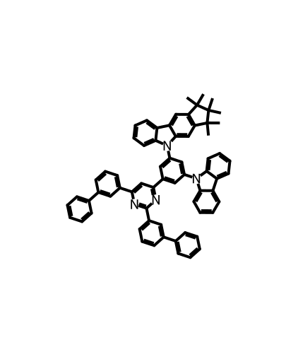 CC1(C)c2cc3c4ccccc4n(-c4cc(-c5cc(-c6cccc(-c7ccccc7)c6)nc(-c6cccc(-c7ccccc7)c6)n5)cc(-n5c6ccccc6c6ccccc65)c4)c3cc2C(C)(C)C1(C)C